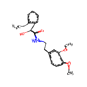 COc1ccc(CCNC(=O)C(O)c2ccccc2C)cc1OC